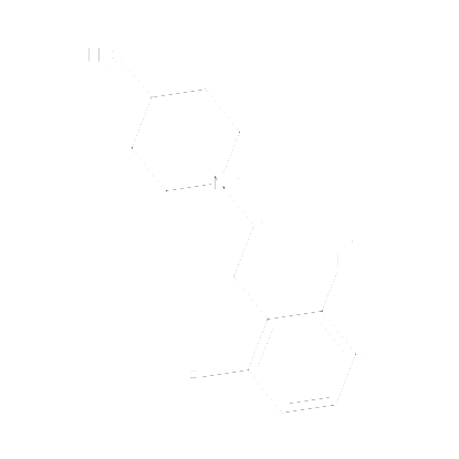 CC1CCN(CCc2c(F)cccc2F)CC1